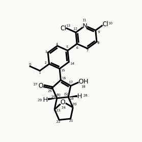 CCc1ccc(-c2ccc(Cl)nc2Cl)cc1C1=C(O)[C@@H]2C3CCC(O3)[C@@H]2C1=O